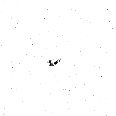 [B].[N]=O.[Si]